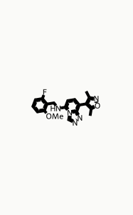 COc1cccc(F)c1CNc1ccc(-c2c(C)noc2C)c2nncn12